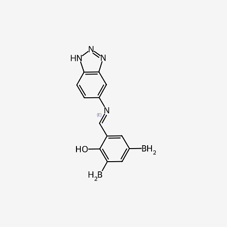 Bc1cc(B)c(O)c(/C=N/c2ccc3[nH]nnc3c2)c1